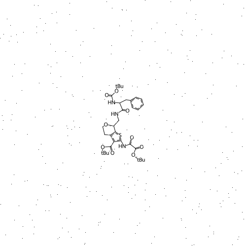 CC(C)(C)OC(=O)NC(Cc1ccccc1)C(=O)NCC1OCCc2c1sc(NC(=O)C(=O)OC(C)(C)C)c2C(=O)OC(C)(C)C